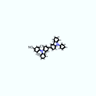 CC(C)(C)c1cc(C#N)cc(C#N)c1-n1c2ccccc2c2cc(-c3ccc4c(c3)c3ccccc3n4-c3ccccc3)ccc21